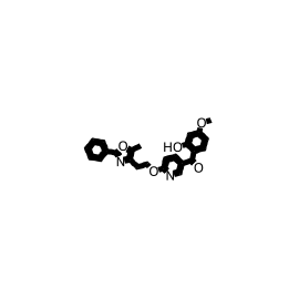 COc1ccc(C(=O)c2ccc(OCCc3nc(-c4ccccc4)oc3C)nc2)c(O)c1